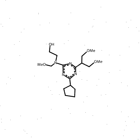 COCC(COC)c1nc(C2CCCC2)nc(N(CCO)COC)n1